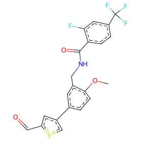 COc1ccc(-c2csc(C=O)c2)cc1CNC(=O)c1ccc(C(F)(F)F)cc1F